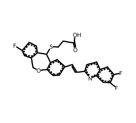 O=C(O)CCSC1c2ccc(F)cc2COc2ccc(C=Cc3ccc4cc(F)c(F)cc4n3)cc21